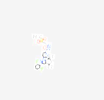 CC[C@H]1CC[C@](CC)(c2cccc(-c3nnc(CCS(C)(=O)=O)o3)n2)c2nnc(-c3c(F)cccc3F)cc21